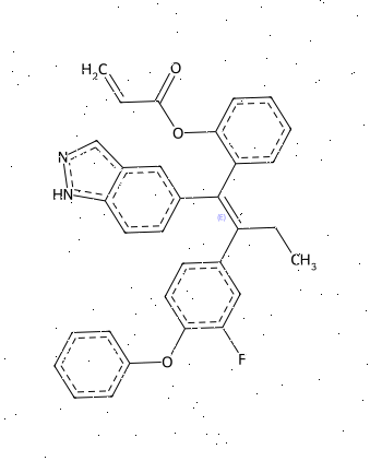 C=CC(=O)Oc1ccccc1/C(=C(\CC)c1ccc(Oc2ccccc2)c(F)c1)c1ccc2[nH]ncc2c1